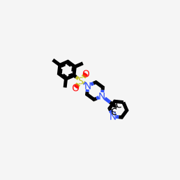 Cc1cc(C)c(S(=O)(=O)N2CCN(C3CC4CCN(CC4)C3)CC2)c(C)c1